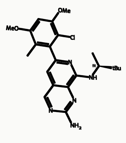 COc1cc(OC)c(Cl)c(-c2cc3cnc(N)nc3c(N[C@@H](C)C(C)(C)C)n2)c1C